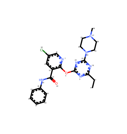 CCc1nc(Oc2ncc(Cl)cc2C(=O)Nc2ccccc2)nc(N2CCN(C)CC2)n1